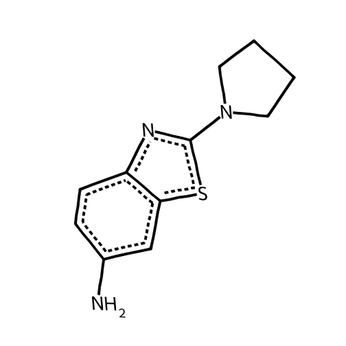 Nc1ccc2nc(N3CCCC3)sc2c1